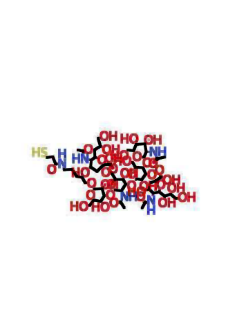 CC(=O)N[C@@H]1C(O[C@H]2C(CO)O[C@@H](O[C@H]3[C@H](O)C(CO[C@]4(C(=O)O)C[C@@H](O)[C@@H](NC(C)=O)C(C[C@H](O)CO)O4)OC(O[C@@H]4[C@H](O)C(OCCCCCNC(=O)CCS)OC(CO)[C@@H]4O)[C@H]3NC(C)=O)[C@@H](O)C2O[C@@]2(C(=O)O)C[C@H](O)[C@H](NC(C)=O)C([C@H](O)[C@H](O)CO)O2)OC(CO)[C@H](O)[C@@H]1O